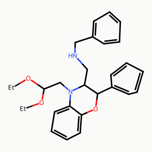 CCOC(CN1c2ccccc2OC(c2ccccc2)C1CNCc1ccccc1)OCC